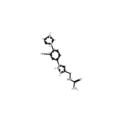 CC(=S)NCc1cn(-c2ccc(-n3ccnc3)c(F)c2)nn1